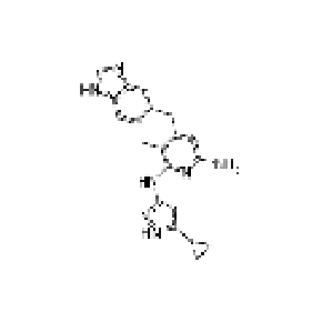 Cc1c(Cc2ccc3[nH]cnc3c2)nc(N)nc1Nc1cc(C2CC2)[nH]n1